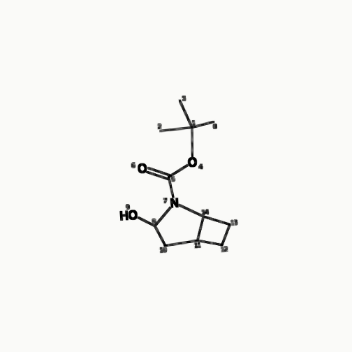 CC(C)(C)OC(=O)N1C(O)CC2CCC21